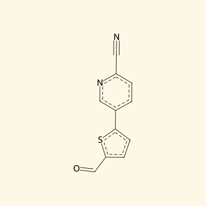 N#Cc1ccc(-c2ccc(C=O)s2)cn1